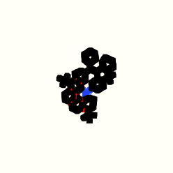 CC(C)(C)c1ccc(N(c2ccc3c(c2)C(=C(c2ccccc2)c2ccccc2)c2ccccc2C3(C)C)c2ccc(C(C)(C)C)cc2-c2ccccc2)c(-c2ccccc2)c1